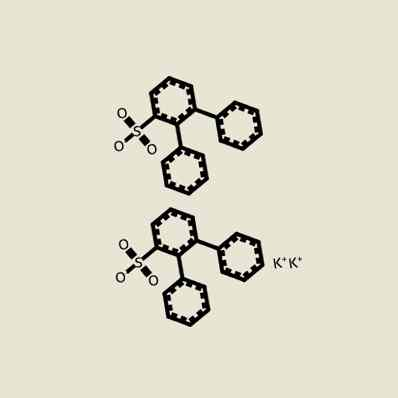 O=S(=O)([O-])c1cccc(-c2ccccc2)c1-c1ccccc1.O=S(=O)([O-])c1cccc(-c2ccccc2)c1-c1ccccc1.[K+].[K+]